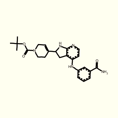 CC(C)(C)OC(=O)N1CC=C(C2Cc3c(Nc4cccc(C(N)=O)c4)ccnc3N2)CC1